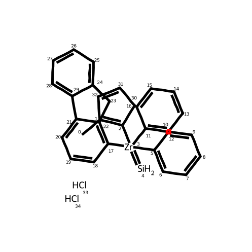 CC1=[C]([Zr](=[SiH2])([c]2ccccc2)([c]2ccccc2)[c]2cccc3c2Cc2ccccc2-3)CC=C1.Cl.Cl